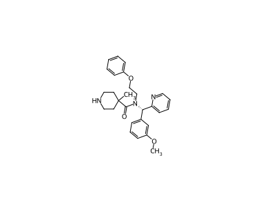 COc1cccc([C@@H](c2ccccn2)N(CCOc2ccccc2)C(=O)C2(C)CCNCC2)c1